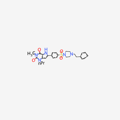 CCCn1c(=O)n(C)c(=O)c2[nH]c(-c3ccc(S(=O)(=O)N4CCN(CCc5ccccc5)CC4)cc3)cc21